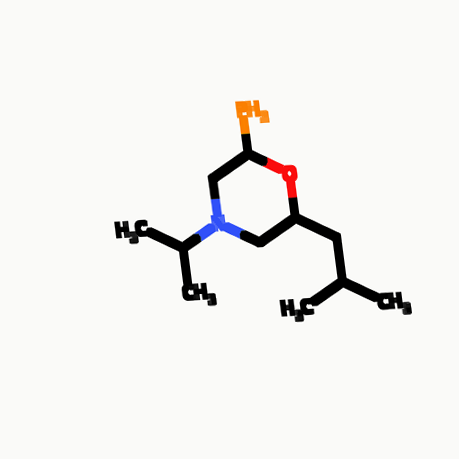 CC(C)CC1CN(C(C)C)CC(P)O1